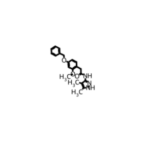 COc1cc(OCc2ccccc2)ccc1CC(=O)Nc1n[nH]c(C)c1C